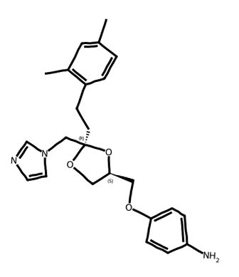 Cc1ccc(CC[C@@]2(Cn3ccnc3)OC[C@H](COc3ccc(N)cc3)O2)c(C)c1